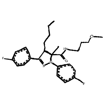 CCCCC1C(c2ccc(F)cc2)=NN(c2ccc(F)cc2)C1(C)C(=O)NCCCOC